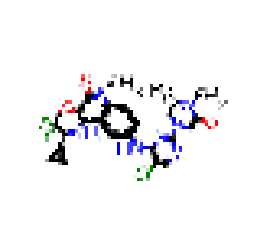 C[C@H]1CN(c2ncc(Cl)c(Nc3ccc4c(c3)c3c(c(=O)n4C)OCC(F)(F)[C@H](C4CC4)N3)n2)CC(=O)N1C